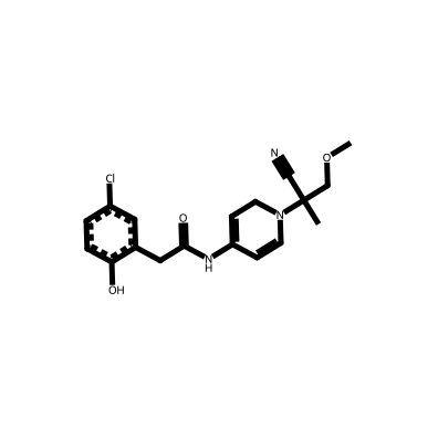 COCC(C)(C#N)N1C=CC(NC(=O)Cc2cc(Cl)ccc2O)=CC1